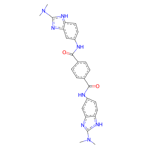 CN(C)c1nc2cc(NC(=O)c3ccc(C(=O)Nc4ccc5[nH]c(N(C)C)nc5c4)cc3)ccc2[nH]1